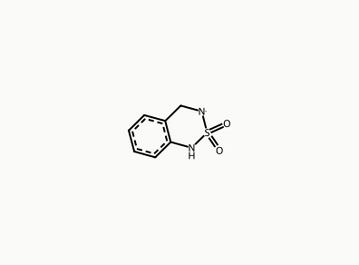 O=S1(=O)[N]Cc2ccccc2N1